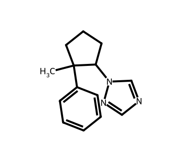 CC1(c2ccccc2)CCCC1n1cncn1